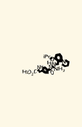 CC(C)Oc1cccc(N2CCCCC2)c1CN/C(N)=N/C(=O)c1ccc(C[C@H](N)C(=O)O)cc1